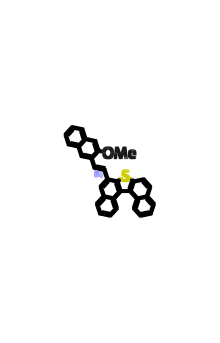 COc1cc2ccccc2cc1/C=C/c1cc2ccccc2c2c1sc1ccc3ccccc3c12